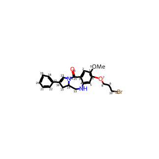 COc1cc2c(cc1OCCCBr)NCC1CC(c3ccccc3)=CN1C2=O